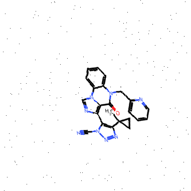 CC1(c2nnn(C#N)c2-c2ncn3c2c(=O)n(Cc2ccccn2)c2ccccc23)CC1